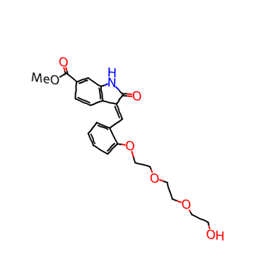 COC(=O)c1ccc2c(c1)NC(=O)/C2=C/c1ccccc1OCCOCCOCCO